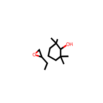 CC1(C)CCCC(C)(C)C1O.CCC1CO1